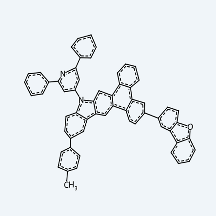 Cc1ccc(-c2ccc3c(c2)c2cc4c5ccc(-c6ccc7oc8ccccc8c7c6)cc5c5ccccc5c4cc2n3-c2cc(-c3ccccc3)nc(-c3ccccc3)c2)cc1